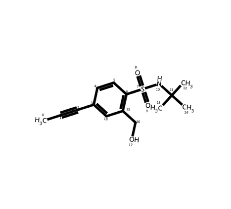 CC#Cc1ccc(S(=O)(=O)NC(C)(C)C)c(CO)c1